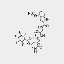 COc1cccc2[nH]c(C(=O)NCC(=O)N[C@@H](C[C@@H]3CCCNC3=O)C(=O)COC(=O)c3c(F)c(F)c(F)c(F)c3F)cc12